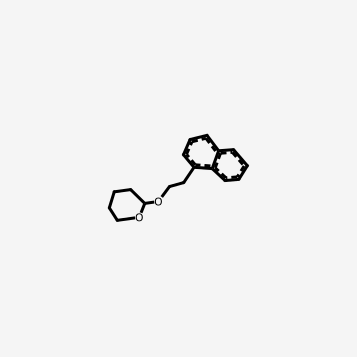 c1ccc2c(CCOC3CCCCO3)cccc2c1